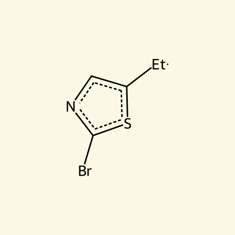 C[CH]c1cnc(Br)s1